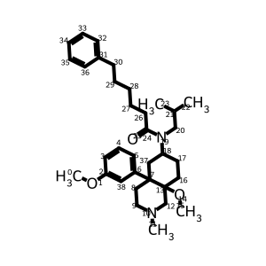 COc1cccc(C23CCN(C)CC2(OC)CCC(N(CC(C)C)C(=O)CCCCCc2ccccc2)C3)c1